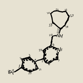 CC(C)c1ccc(-c2ccnc(CNC3CCCCCC3)c2)cc1